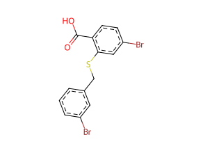 O=C(O)c1ccc(Br)cc1SCc1cccc(Br)c1